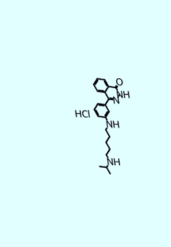 CC(C)NCCCCCNc1cccc(-c2n[nH]c(=O)c3ccccc23)c1.Cl